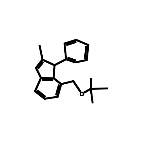 CC1=Cc2cccc(COC(C)(C)C)c2C1c1ccccc1